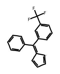 FC(F)(F)c1cccc(C(=C2[C]=CC=C2)c2ccccc2)c1